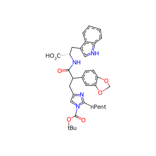 CCCCCc1nc(CC(C(=O)N[C@@H](Cc2c[nH]c3ccccc23)C(=O)O)c2ccc3c(c2)OCO3)cn1C(=O)OC(C)(C)C